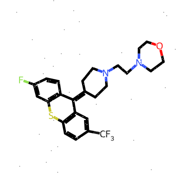 Fc1ccc2c(c1)Sc1ccc(C(F)(F)F)cc1C2=C1CCN(CCN2CCOCC2)CC1